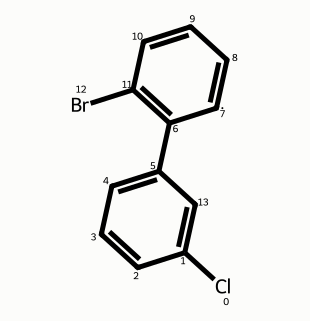 Clc1cccc(-c2[c]cccc2Br)c1